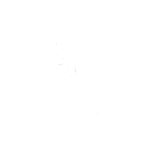 CNCCCCCCCCCc1ccc2c(c1)C(=O)N(C1CCC(=O)NC1=O)C2=O